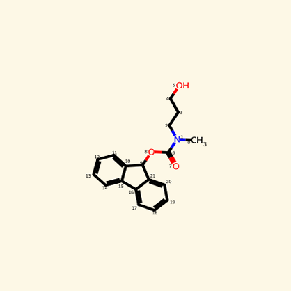 CN(CCCO)C(=O)OC1c2ccccc2-c2ccccc21